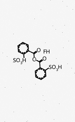 F.O=C(OC(=O)c1ccccc1S(=O)(=O)O)c1ccccc1S(=O)(=O)O